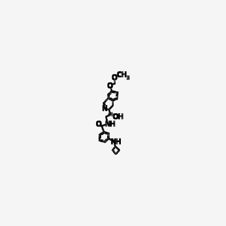 COCOc1ccc2c(c1)C=NC([C@H](O)CNC(=O)c1cccc(NC3CCC3)c1)C2